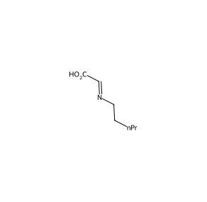 CCCCC/N=C/C(=O)O